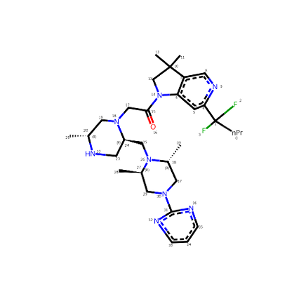 CCCC(F)(F)c1cc2c(cn1)C(C)(C)CN2C(=O)CN1C[C@@H](C)NC[C@@H]1CN1[C@H](C)CN(c2ncccn2)C[C@H]1C